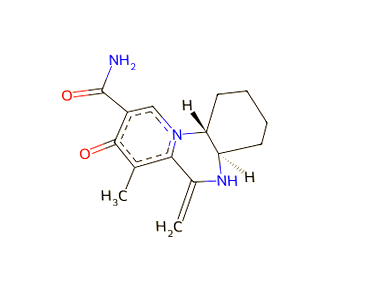 C=C1N[C@@H]2CCCC[C@H]2n2cc(C(N)=O)c(=O)c(C)c21